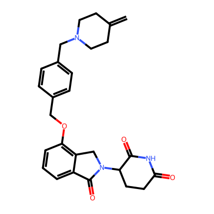 C=C1CCN(Cc2ccc(COc3cccc4c3CN(C3CCC(=O)NC3=O)C4=O)cc2)CC1